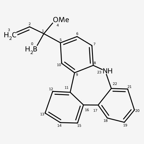 BC(C=C)(OC)c1ccc2c(c1)-c1ccccc1-c1ccccc1N2